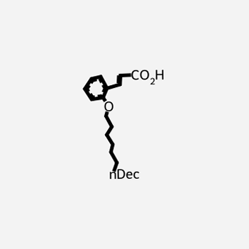 CCCCCCCCCCCCCCCCOc1ccccc1C=CC(=O)O